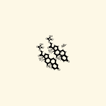 C[C@]12C=CC(=O)C=C1CCC1C2C(O)C[C@@]2(C)C1CC[C@]2(O)C(=O)COP(=O)([O-])O.C[C@]12C=CC(=O)C=C1CCC1C2C(O)C[C@@]2(C)C1CC[C@]2(O)C(=O)COP(=O)([O-])O.[Na+].[Na+]